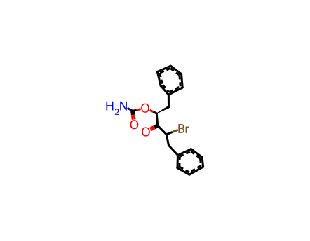 NC(=O)O[C@@H](Cc1ccccc1)C(=O)C(Br)Cc1ccccc1